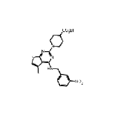 CCOC(=O)C1CCN(c2nc(NCc3cccc([N+](=O)[O-])c3)c3c(C)csc3n2)CC1